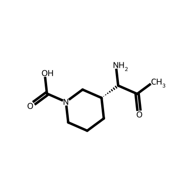 CC(=O)C(N)[C@@H]1CCCN(C(=O)O)C1